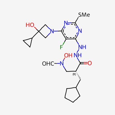 CSc1nc(NNC(=O)[C@H](CC2CCCC2)CN(O)C=O)c(F)c(N2CC(O)(C3CC3)C2)n1